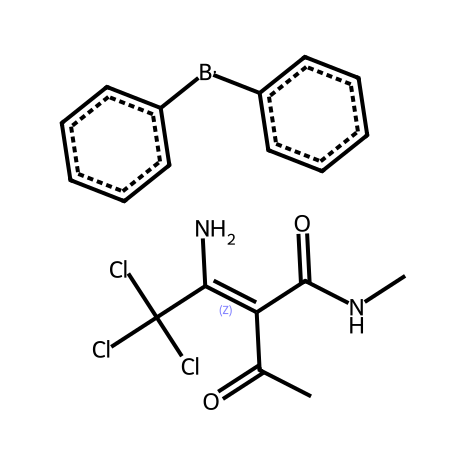 CNC(=O)/C(C(C)=O)=C(\N)C(Cl)(Cl)Cl.[B](c1ccccc1)c1ccccc1